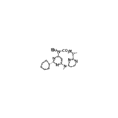 CN(c1cc(N(C(=O)O)C(C)(C)C)nc(-c2ccccc2)n1)c1ccnc([S+](C)[O-])n1